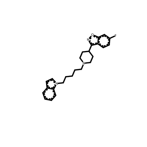 Fc1ccc2c(C3CCN(CCCCCn4ccc5ccccc54)CC3)noc2c1